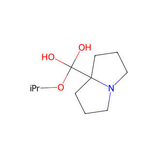 CC(C)OC(O)(O)C12CCCN1CCC2